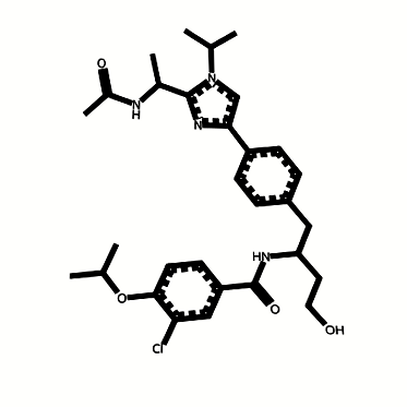 CC(=O)NC(C)c1nc(-c2ccc(CC(CCO)NC(=O)c3ccc(OC(C)C)c(Cl)c3)cc2)cn1C(C)C